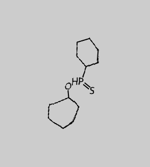 S=[PH](OC1CCCCC1)C1CCCCC1